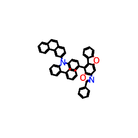 c1ccc(-c2nc3cc4oc5ccccc5c4c(-c4ccc(N(c5ccc6ccc7ccccc7c6c5)c5ccccc5-c5ccccc5)cc4)c3o2)cc1